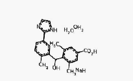 Cc1ccc(-c2ncc[nH]2)cc1C(O)c1c(C)cc(C(=O)O)cc1C.O.O.[NaH]